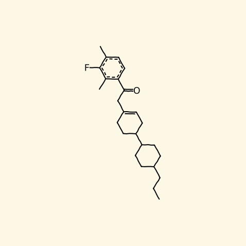 CCCC1CCC(C2CC=C(CC(=O)c3ccc(C)c(F)c3C)CC2)CC1